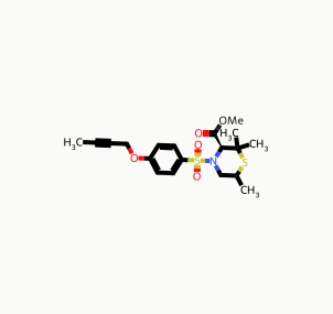 CC#CCOc1ccc(S(=O)(=O)N2CC(C)SC(C)(C)[C@@H]2C(=O)OC)cc1